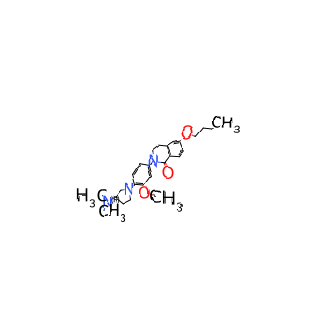 CCCCOc1ccc2c(c1)CCN(c1ccc(N3CC[C@@H](N(C)C)C3)c(OC)c1)C2=O